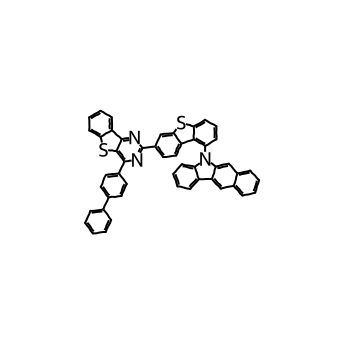 c1ccc(-c2ccc(-c3nc(-c4ccc5c(c4)sc4cccc(-n6c7ccccc7c7cc8ccccc8cc76)c45)nc4c3sc3ccccc34)cc2)cc1